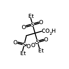 CCS(=O)(=O)CC(C(=O)O)(S(=O)(=O)CC)S(=O)(=O)CC